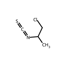 CC(CCl)N=C=S